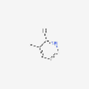 [Li][c]1ncccc1C